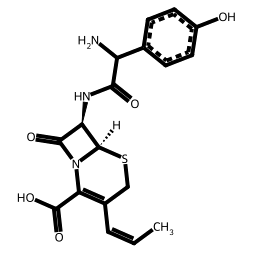 C/C=C\C1=C(C(=O)O)N2C(=O)[C@@H](NC(=O)C(N)c3ccc(O)cc3)[C@H]2SC1